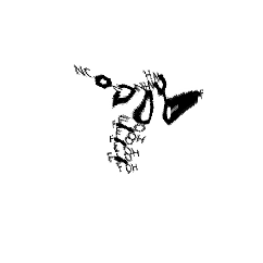 N#Cc1ccc(N2CCC[C@H](N[C@@H]3CCCC[C@H]3Nc3cc(-c4cccc(F)c4)ccn3)C2)cc1.O=C(O)C(F)(F)F.O=C(O)C(F)(F)F.O=C(O)C(F)(F)F